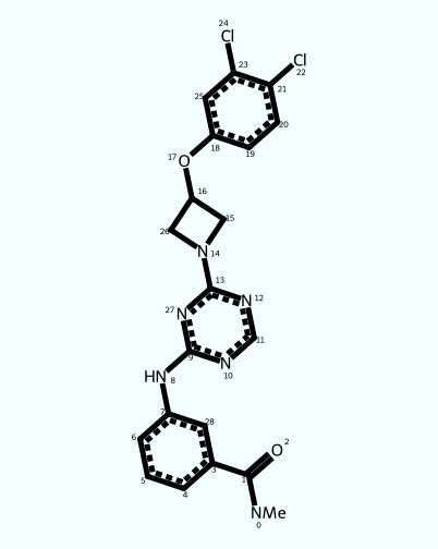 CNC(=O)c1cccc(Nc2ncnc(N3CC(Oc4ccc(Cl)c(Cl)c4)C3)n2)c1